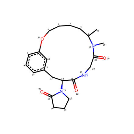 CC1CCCCOc2cccc(c2)C[C@H](N2CCCC2=O)C(=O)NCC(=O)N1C